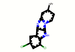 CCCc1ccn2c(c1)nc1c3cc(Cl)cc(Cl)c3[nH]c12